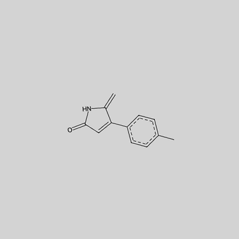 C=C1NC(=O)C=C1c1ccc(C)cc1